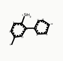 Cc1ccc([SiH3])c(-c2ccccc2)c1